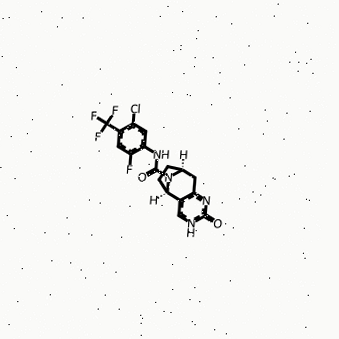 O=C(Nc1cc(Cl)c(C(F)(F)F)cc1F)N1[C@H]2CC[C@@H]1c1c[nH]c(=O)nc1C2